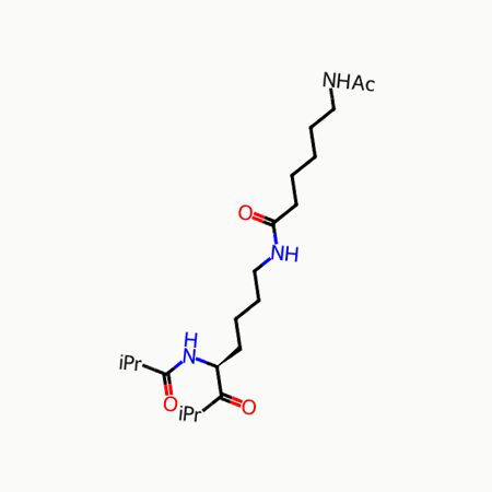 CC(=O)NCCCCCC(=O)NCCCC[C@H](NC(=O)C(C)C)C(=O)C(C)C